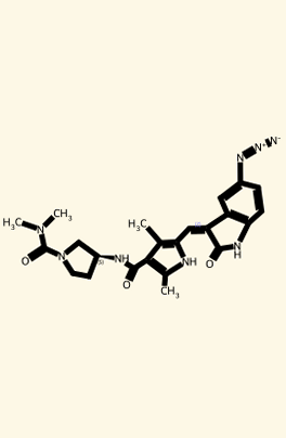 Cc1[nH]c(/C=C2\C(=O)Nc3ccc(N=[N+]=[N-])cc32)c(C)c1C(=O)N[C@H]1CCN(C(=O)N(C)C)C1